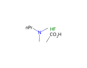 CC(=O)O.CCCN(C)C.F